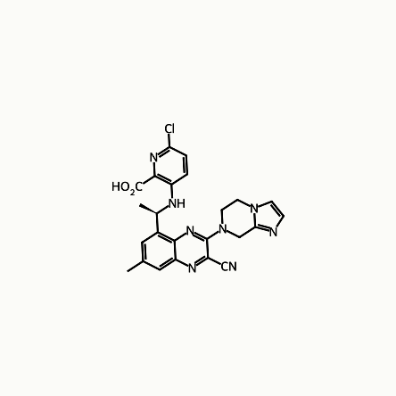 Cc1cc([C@@H](C)Nc2ccc(Cl)nc2C(=O)O)c2nc(N3CCn4ccnc4C3)c(C#N)nc2c1